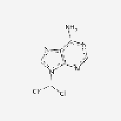 Nc1ncnc2c1ncn2C(Cl)Cl